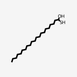 CCCCCCCCCCCCCCCCCCCCC(O)S